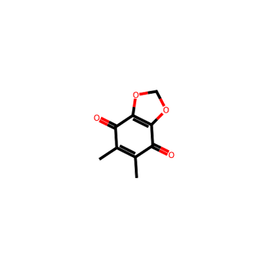 CC1=C(C)C(=O)C2=C(OCO2)C1=O